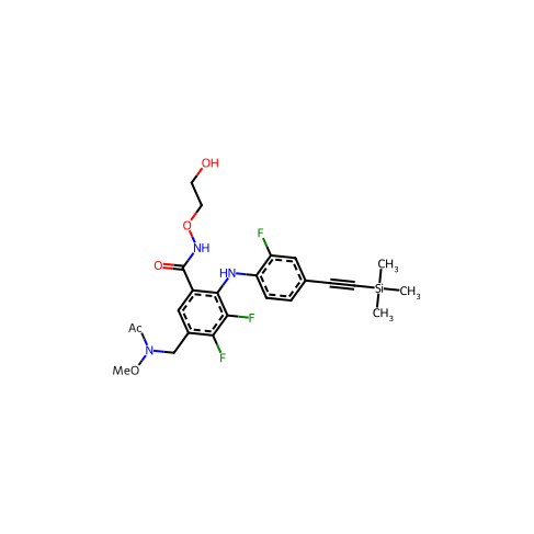 CON(Cc1cc(C(=O)NOCCO)c(Nc2ccc(C#C[Si](C)(C)C)cc2F)c(F)c1F)C(C)=O